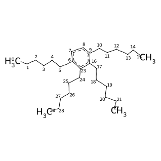 CCCCCCc1ccc(CCCCCC)c(CCCCCC)c1CCCCCC